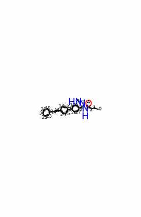 CCCC(=O)Nc1n[nH]c2cc(-c3ccc(C#Cc4ccccc4)cc3)ccc12